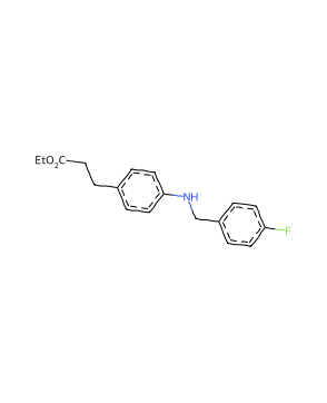 CCOC(=O)CCc1ccc(NCc2ccc(F)cc2)cc1